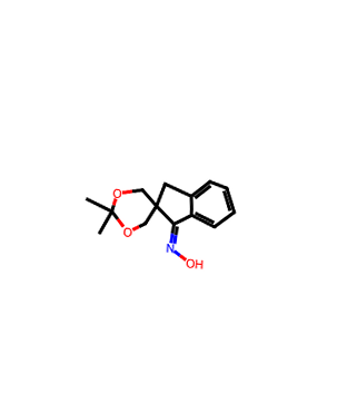 CC1(C)OCC2(CO1)Cc1ccccc1/C2=N\O